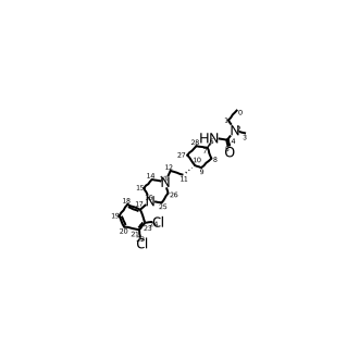 CCN(C)C(=O)N[C@H]1CC[C@H](CCN2CCN(c3cccc(Cl)c3Cl)CC2)CC1